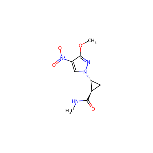 CNC(=O)[C@@H]1C[C@H]1n1cc([N+](=O)[O-])c(OC)n1